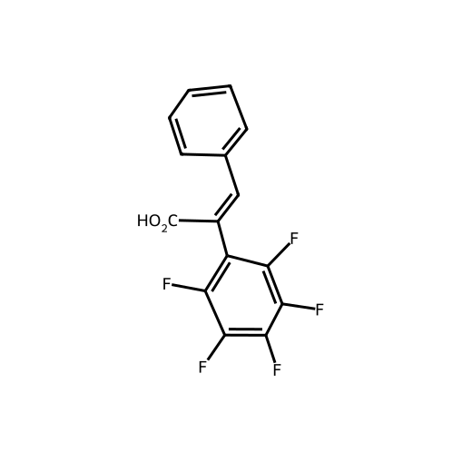 O=C(O)C(=Cc1ccccc1)c1c(F)c(F)c(F)c(F)c1F